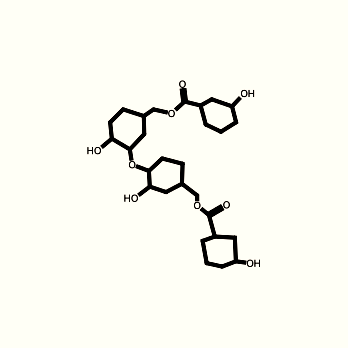 O=C(OCC1CCC(OC2CC(COC(=O)C3CCCC(O)C3)CCC2O)C(O)C1)C1CCCC(O)C1